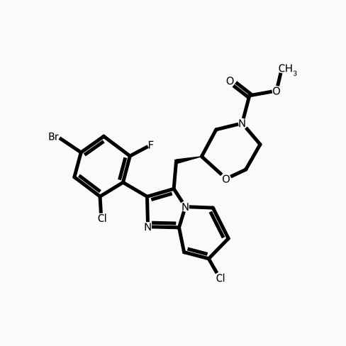 COC(=O)N1CCO[C@@H](Cc2c(-c3c(F)cc(Br)cc3Cl)nc3cc(Cl)ccn23)C1